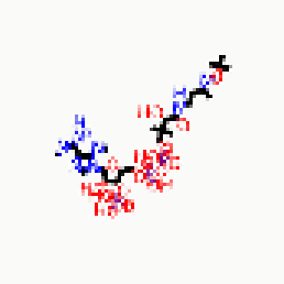 C=Nc1c(/C(N)=N\C)ncn1C1OC(COP(=O)(O)OP(=O)(O)OCC(C)(C)[C@H](O)C(=O)NCC/C(C)=N/OC(C)(C)C)C(OP(=O)(O)O)C1O